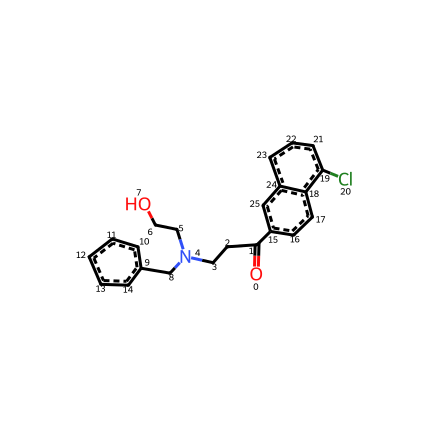 O=C(CCN(CCO)Cc1ccccc1)c1ccc2c(Cl)cccc2c1